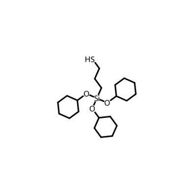 SCCC[Si](OC1CCCCC1)(OC1CCCCC1)OC1CCCCC1